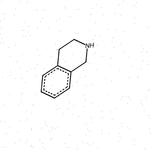 [CH]1CNCc2ccccc21